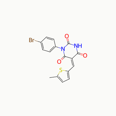 Cc1ccc(C=C2C(=O)NC(=O)N(c3ccc(Br)cc3)C2=O)s1